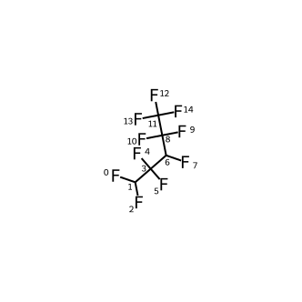 FC(F)C(F)(F)C(F)C(F)(F)C(F)(F)F